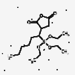 CCCCCC(C1CC(=O)OC1=O)[Si](OCC)(OCC)OCC